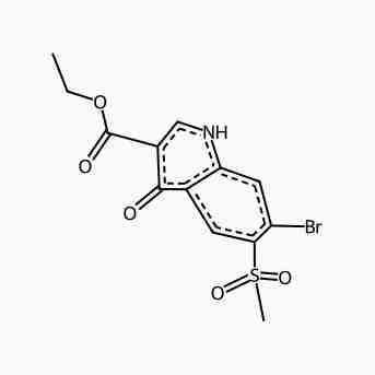 CCOC(=O)c1c[nH]c2cc(Br)c(S(C)(=O)=O)cc2c1=O